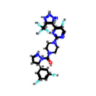 O=C(N1CCN(c2ncc(F)c(-c3[nH]nnc3C(F)(F)F)n2)CC1)N1N=CC[C@H]1c1cc(F)cc(F)c1